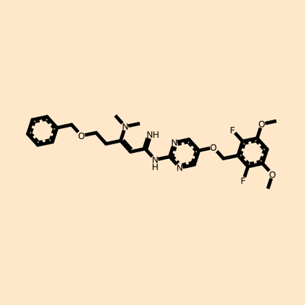 COc1cc(OC)c(F)c(COc2cnc(NC(=N)/C=C(/CCOCc3ccccc3)N(C)C)nc2)c1F